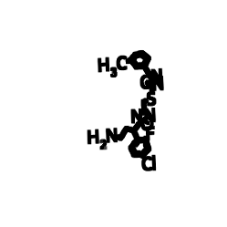 Cc1cccc(-c2nnc(SCc3noc(C(CCN)c4ccc(Cl)cc4F)n3)o2)c1